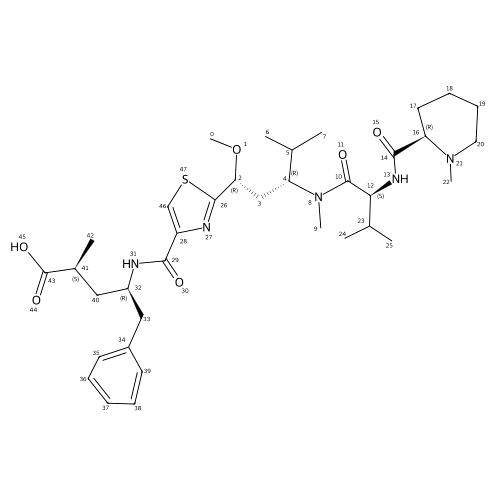 CO[C@H](C[C@H](C(C)C)N(C)C(=O)[C@@H](NC(=O)[C@H]1CCCCN1C)C(C)C)c1nc(C(=O)N[C@@H](Cc2ccccc2)C[C@H](C)C(=O)O)cs1